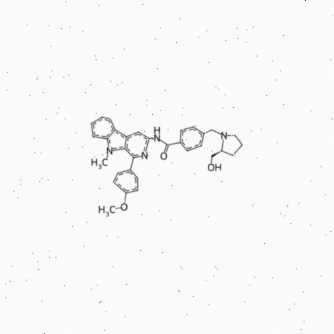 COc1ccc(-c2nc(NC(=O)c3ccc(CN4CCC[C@H]4CO)cc3)cc3c4ccccc4n(C)c23)cc1